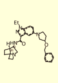 CCn1nc(C(=O)N[C@@H]2CN3CCC34CC[C@H]24)c2cc(N3CCC(OCc4ccccc4)C3)ccc21